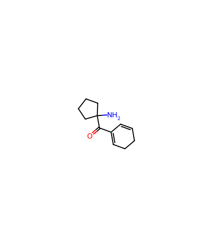 NC1(C(=O)C2=CCCC=C2)CCCC1